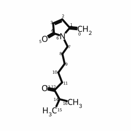 C=C1C=CC(=O)N1CCCCCC(=O)C(C)C